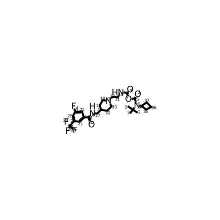 CC(C)(C)N(C(=O)OC(=O)NCCN1CCC(CNC(=O)c2cc(F)cc(C(F)(F)F)c2)CC1)C1CCC1